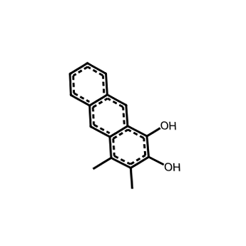 Cc1c(O)c(O)c2cc3ccccc3cc2c1C